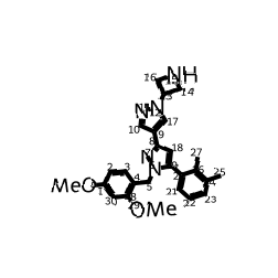 COc1ccc(Cn2nc(-c3cnn(C4CNC4)c3)cc2-c2cccc(C)c2C)c(OC)c1